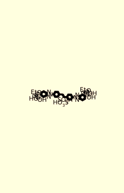 CCS(=O)(=O)[N+](O)(O)c1ccc2nn(-c3ccc(C=Cc4ccc(-n5nc6ccc([N+](O)(O)S(=O)(=O)CC)cc6n5)cc4S(=O)(=O)O)c(S(=O)(=O)O)c3)nc2c1